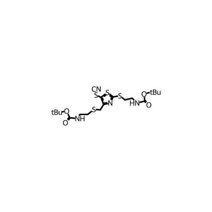 CC(C)(C)OC(=O)NCCSCc1nc(SCCNC(=O)OC(C)(C)C)sc1SC#N